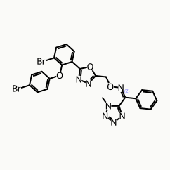 Cn1nnnc1/C(=N\OCc1nnc(-c2cccc(Br)c2Oc2ccc(Br)cc2)o1)c1ccccc1